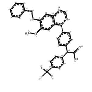 COc1cc2c(-c3ccc(C(C(=O)O)c4ccc(C(F)(F)F)cc4)cc3)ncnc2cc1OCc1ccccc1